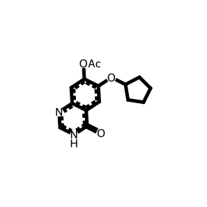 CC(=O)Oc1cc2nc[nH]c(=O)c2cc1OC1CCCC1